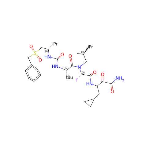 CC(C)[C@H](C)CN(C(=O)[C@@H](NC(=O)N[C@H](CS(=O)(=O)Cc1ccccc1)C(C)C)C(C)(C)C)[C@@H](I)C(=O)NC(CC1CC1)C(=O)C(N)=O